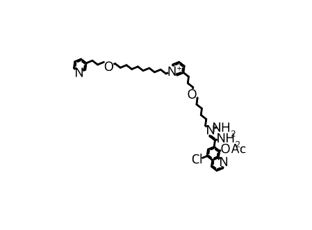 CC(=O)Oc1c(/C(N)=C/N(N)CCCCCCOCCCc2ccc[n+](CCCCCCCCCCOCCCc3cccnc3)c2)cc(Cl)c2cccnc12